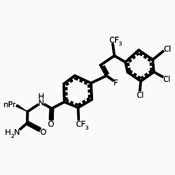 CCC[C@@H](NC(=O)c1ccc(/C(F)=C/C(c2cc(Cl)c(Cl)c(Cl)c2)C(F)(F)F)cc1C(F)(F)F)C(N)=O